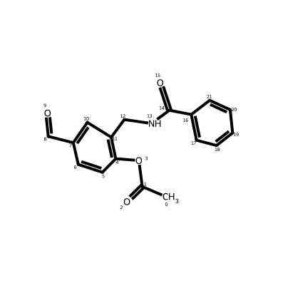 CC(=O)Oc1ccc(C=O)cc1CNC(=O)c1ccccc1